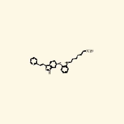 CCOC(=O)CCCCCCNc1ccccc1Sc1ccc2c(C=Cc3ccccn3)n[nH]c2c1